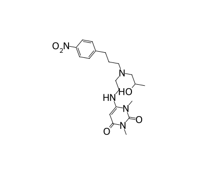 CC(O)CN(CCCc1ccc([N+](=O)[O-])cc1)CCNc1cc(=O)n(C)c(=O)n1C